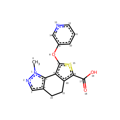 Cn1ncc2c1-c1c(Oc3cccnc3)sc(C(=O)O)c1CC2